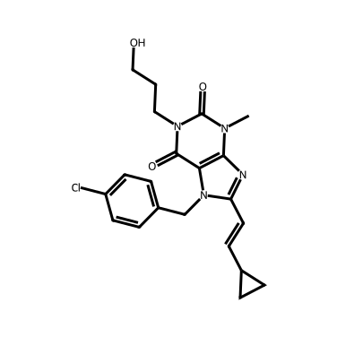 Cn1c(=O)n(CCCO)c(=O)c2c1nc(C=CC1CC1)n2Cc1ccc(Cl)cc1